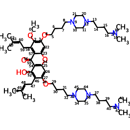 COc1c(OCCCCN2CCN(CCCCN(C)C)CC2)cc2oc3cc(OCCCCN4CCN(CCCCN(C)C)CC4)c(CC=C(C)C)c(O)c3c(=O)c2c1CC=C(C)C